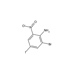 Nc1c(Br)cc(I)cc1[N+](=O)[O-]